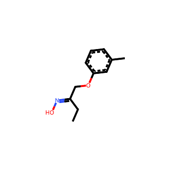 CC/C(COc1cccc(C)c1)=N\O